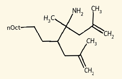 C=C(C)CC(CCCCCCCCCC)C(C)(N)CC(=C)C